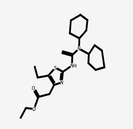 C=C(Nc1nc(CC(=O)OCC)c(CC)s1)N(C1CCCCC1)C1CCCCC1